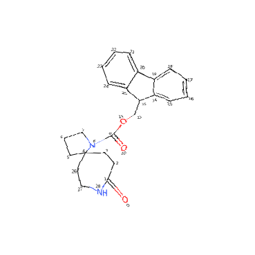 O=C1CCC2(CCCN2C(=O)OCC2c3ccccc3-c3ccccc32)CCN1